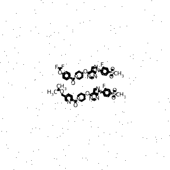 CC(C)OCc1ccc(C(=O)N2CCC(Oc3ncnc4c3cnn4-c3ccc(S(C)(=O)=O)cc3F)CC2)nc1.CS(=O)(=O)c1ccc(-n2ncc3c(OC4CCN(C(=O)c5ccc(OC(F)F)cc5)CC4)ncnc32)c(F)c1